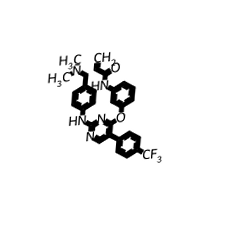 C=CC(=O)Nc1cccc(Oc2nc(Nc3ccc(CN(C)C)cc3)ncc2-c2ccc(C(F)(F)F)cc2)c1